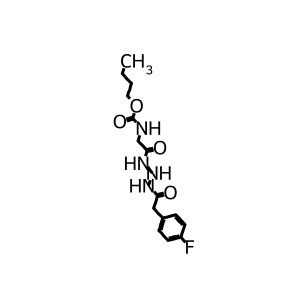 CCCCOC(=O)NCC(=O)NNNC(=O)Cc1ccc(F)cc1